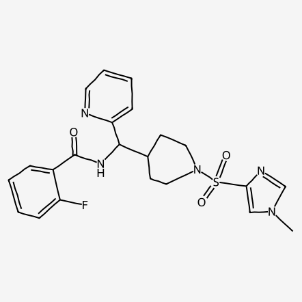 Cn1cnc(S(=O)(=O)N2CCC(C(NC(=O)c3ccccc3F)c3ccccn3)CC2)c1